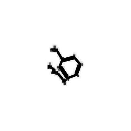 CCCCc1c[c]ccc1.C[CH2][Mg][Br]